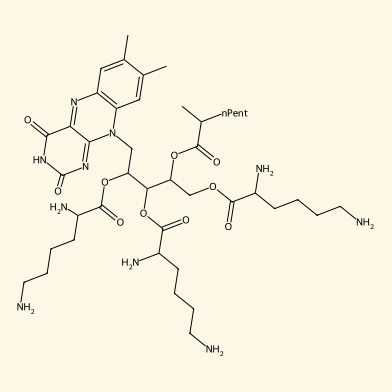 CCCCCC(C)C(=O)OC(COC(=O)C(N)CCCCN)C(OC(=O)C(N)CCCCN)C(Cn1c2nc(=O)[nH]c(=O)c-2nc2cc(C)c(C)cc21)OC(=O)C(N)CCCCN